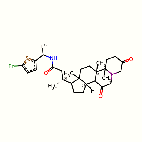 CC(C)C(NC(=O)C[C@@H](C)C1CC[C@H]2C3C(=O)CP4CC(=O)CCC4(C)[C@@]3(C)CCC12C)c1ccc(Br)s1